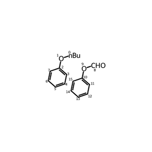 CCCCOc1ccccc1.O=COc1ccccc1